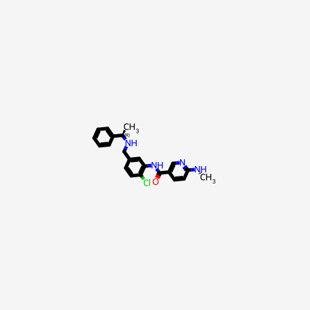 CNc1ccc(C(=O)Nc2cc(CN[C@H](C)c3ccccc3)ccc2Cl)cn1